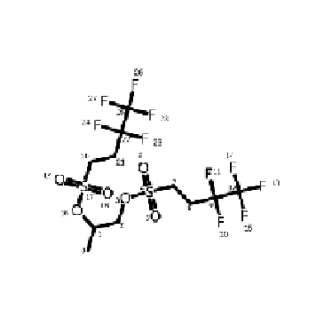 CC(COS(=O)(=O)CCC(F)(F)C(F)(F)F)OS(=O)(=O)CCC(F)(F)C(F)(F)F